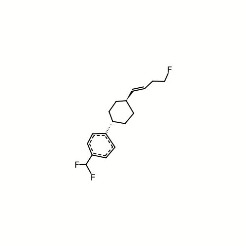 FCC/C=C/[C@H]1CC[C@H](c2ccc(C(F)F)cc2)CC1